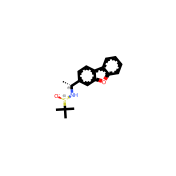 C[C@@H](N[S@+]([O-])C(C)(C)C)c1ccc2c(c1)oc1ccccc12